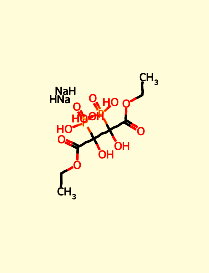 CCOC(=O)C(O)(C(O)(C(=O)OCC)P(=O)(O)O)P(=O)(O)O.[NaH].[NaH]